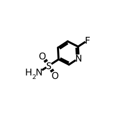 NS(=O)(=O)c1ccc(F)nc1